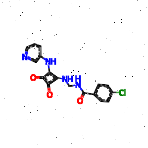 O=C(NCNc1c(Nc2cccnc2)c(=O)c1=O)c1ccc(Cl)cc1